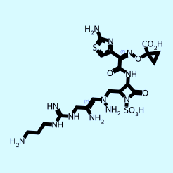 N=C(NCCCN)NC/C(N)=C/N(N)CC1C(NC(=O)/C(=N\OC2(C(=O)O)CC2)c2csc(N)n2)C(=O)N1S(=O)(=O)O